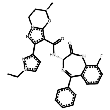 CCn1ccc(-c2nn3c(c2C(=O)N[C@H]2N=C(c4ccccc4)c4cccc(F)c4NC2=O)O[C@H](C)CC3)n1